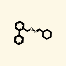 [C](=N\OCc1ccccc1-c1ccccc1)/C1CCCCC1